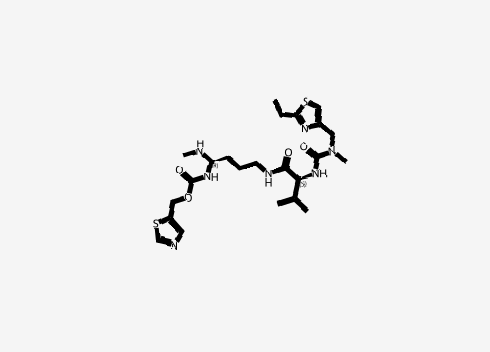 CCc1nc(CN(C)C(=O)N[C@H](C(=O)NCCC[C@H](NC)NC(=O)OCc2cncs2)C(C)C)cs1